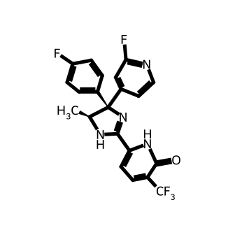 C[C@@H]1NC(c2ccc(C(F)(F)F)c(=O)[nH]2)=N[C@@]1(c1ccc(F)cc1)c1ccnc(F)c1